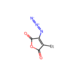 CCC1=C(N=[N+]=[N-])C(=O)OC1=O